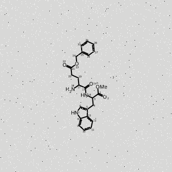 COC(=O)C(Cc1c[nH]c2ccccc12)NC(=O)C(N)CCC(=O)OCc1ccccc1